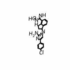 N=C(NO)c1cccc2c1CCC2=Nn1cc(-c2ccc(Cl)cc2)nc1N